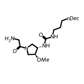 CCCCCCCCCCCCCNC(=O)N[C@H]1CN(C(=O)CN)C[C@@H]1OC